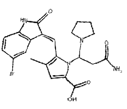 Cc1cc(C(=O)O)n(C(CC(N)=O)N2CCCC2)c1C=C1C(=O)Nc2ccc(Br)cc21